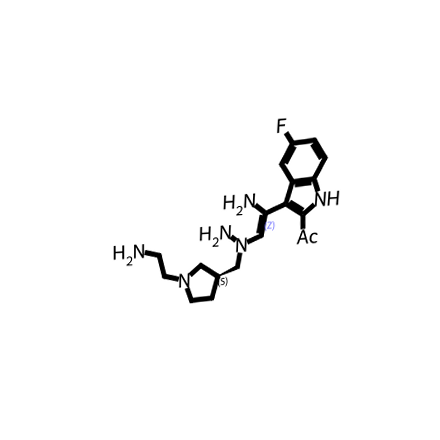 CC(=O)c1[nH]c2ccc(F)cc2c1/C(N)=C/N(N)C[C@H]1CCN(CCN)C1